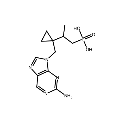 CC(CP(=O)(O)O)C1(Cn2cnc3cnc(N)nc32)CC1